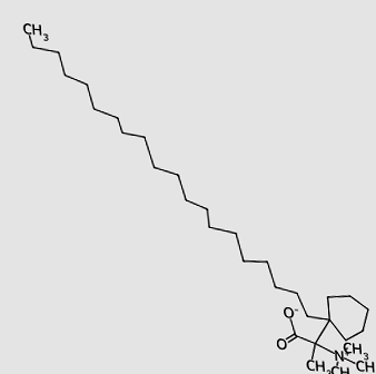 CCCCCCCCCCCCCCCCCCCCC1(C(C)(C(=O)[O-])[N+](C)(C)C)CCCCC1